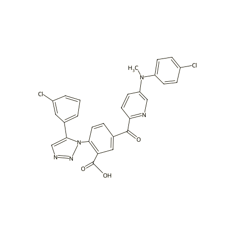 CN(c1ccc(Cl)cc1)c1ccc(C(=O)c2ccc(-n3nncc3-c3cccc(Cl)c3)c(C(=O)O)c2)nc1